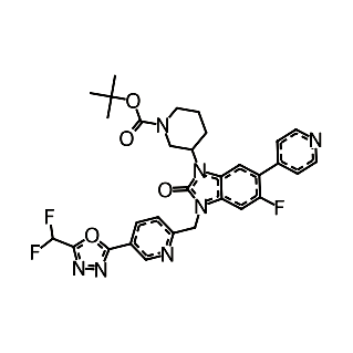 CC(C)(C)OC(=O)N1CCCC(n2c(=O)n(Cc3ccc(-c4nnc(C(F)F)o4)cn3)c3cc(F)c(-c4ccncc4)cc32)C1